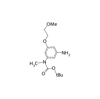 COCCOc1cc(N)cc(N(C)C(=O)OC(C)(C)C)c1